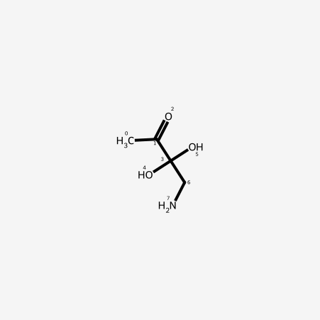 CC(=O)C(O)(O)CN